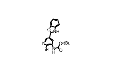 CC(C)c1ncc(C2Nc3ccccc3O2)cc1NC(=O)OC(C)(C)C